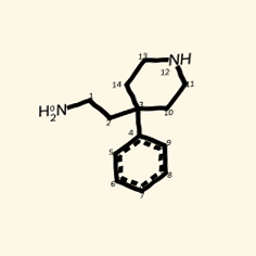 NCCC1(c2ccccc2)CCNCC1